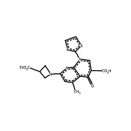 CCOC(=O)C1CN(c2cc(C)c3c(=O)c(C(=O)O)cn(-c4nccs4)c3n2)C1